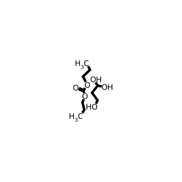 CCCOC(=O)OCCC.OCCC(O)O